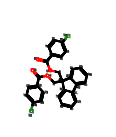 O=C(OCC1(COC(=O)c2ccc(Cl)cc2)c2ccccc2-c2ccccc21)c1ccc(Cl)cc1